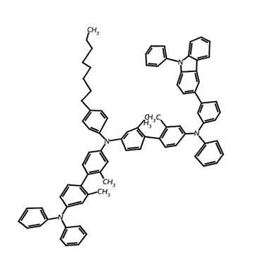 CCCCCCCCc1ccc(N(c2ccc(-c3ccc(N(c4ccccc4)c4ccccc4)cc3C)c(C)c2)c2ccc(-c3ccc(N(c4ccccc4)c4cccc(-c5ccc6c(c5)c5ccccc5n6-c5ccccc5)c4)cc3C)c(C)c2)cc1